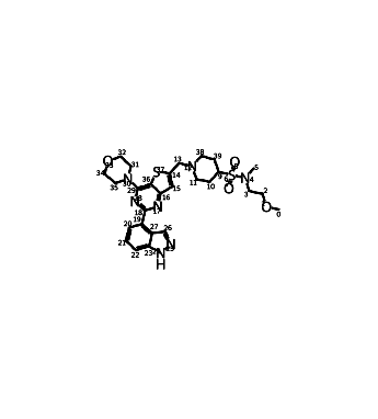 COCCN(C)S(=O)(=O)C1CCN(Cc2cc3nc(-c4cccc5[nH]ncc45)nc(N4CCOCC4)c3s2)CC1